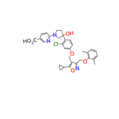 Cc1cccc(C)c1OCc1noc(C2CC2)c1COc1ccc(C2(O)CCN(c3ccc(C(=O)O)cn3)C2)c(Cl)c1